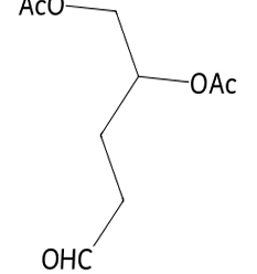 CC(=O)OCC(CCC=O)OC(C)=O